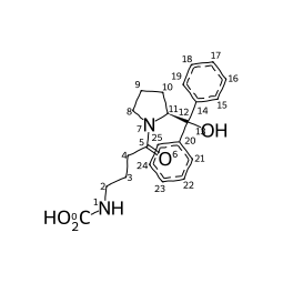 O=C(O)NCCCC(=O)N1CCC[C@H]1C(O)(c1ccccc1)c1ccccc1